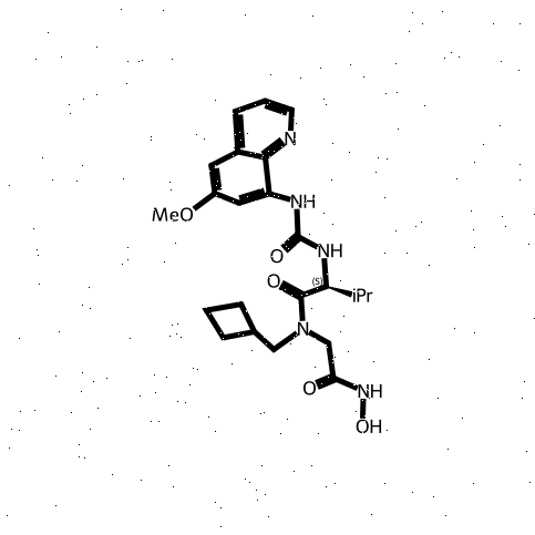 COc1cc(NC(=O)N[C@H](C(=O)N(CC(=O)NO)CC2CCC2)C(C)C)c2ncccc2c1